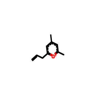 C=CCc1cc(C)cc(C)[o+]1